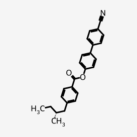 CC[C@@H](C)Cc1ccc(C(=O)Oc2ccc(-c3ccc(C#N)cc3)cc2)cc1